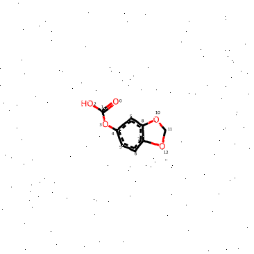 O=C(O)Oc1ccc2c(c1)OCO2